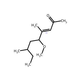 CCC(C)CC(OC)/C(C)=C/C(C)=O